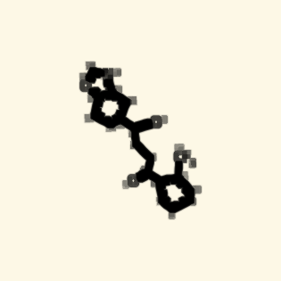 O=C(CCC(=O)c1ccccc1C(F)(F)F)c1ccc2ocnc2c1